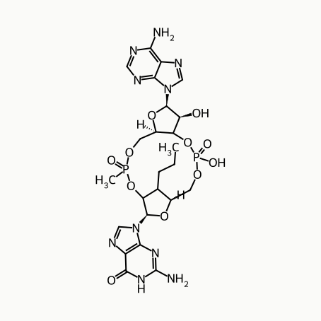 CCCC1C2OP(C)(=O)OC[C@H]3O[C@@H](n4cnc5c(N)ncnc54)[C@@H](O)C3OP(=O)(O)OC[C@H]1O[C@H]2n1cnc2c(=O)[nH]c(N)nc21